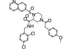 COc1ccc(CC(=O)N2CCN(S(=O)(=O)c3ccc4ncccc4c3)C(C(=O)NCc3ccc(Cl)cc3Cl)C2)cc1